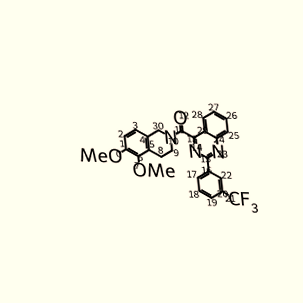 COc1ccc2c(c1OC)CCN(C(=O)c1nc(-c3cccc(C(F)(F)F)c3)nc3ccccc13)C2